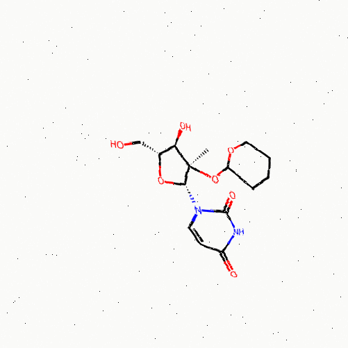 C[C@@]1(OC2CCCCO2)[C@H](O)[C@@H](CO)O[C@H]1n1ccc(=O)[nH]c1=O